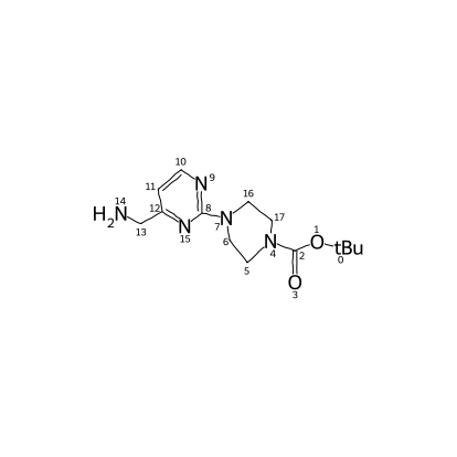 CC(C)(C)OC(=O)N1CCN(c2nccc(CN)n2)CC1